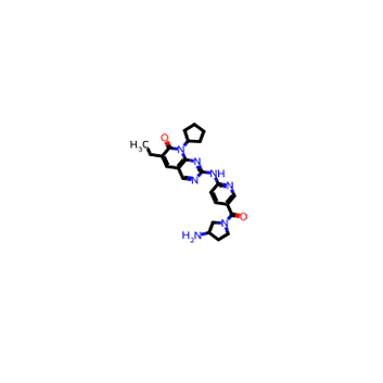 CCc1cc2cnc(Nc3ccc(C(=O)N4CCC(N)C4)cn3)nc2n(C2CCCC2)c1=O